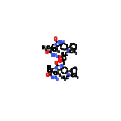 CN(C)C1(c2ccccc2)CCC2(CC1)CN(CC(C)(C)C(N)=O)C(=O)N2.CN(C)C1(c2ccccc2)CCC2(CC1)CN(CC(C)(C)C(N)=O)C(=O)N2CC1(O)CCC1